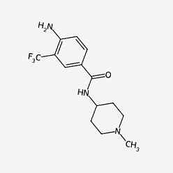 CN1CCC(NC(=O)c2ccc(N)c(C(F)(F)F)c2)CC1